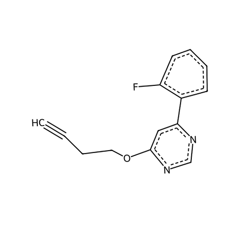 C#CCCOc1cc(-c2ccccc2F)ncn1